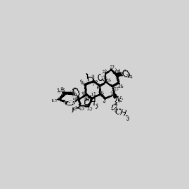 CON=C1CC2C(CC[C@@]3(C)C2C[C@@H](F)C32OCCO2)[C@@]2(C)CCC(=O)CC12